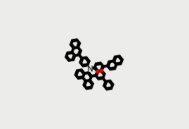 c1ccc(-c2cccc(-c3c(N(c4ccc(-c5ccc6ccccc6c5)cc4)c4ccc(-c5cc6ccccc6c6ccccc56)cc4)c4ccccc4c4ccccc34)c2)cc1